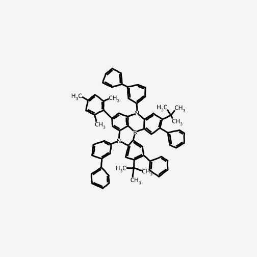 Cc1cc(C)c(-c2cc3c4c(c2)N(c2cccc(-c5ccccc5)c2)c2cc(C(C)(C)C)c(-c5ccccc5)cc2B4c2cc(-c4ccccc4)c(C(C)(C)C)cc2N3c2cccc(-c3ccccc3)c2)c(C)c1